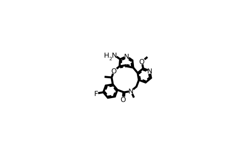 COc1nccc2c1-c1cnc(N)c(c1)OC(C)c1cc(F)ccc1C(=O)N(C)C2